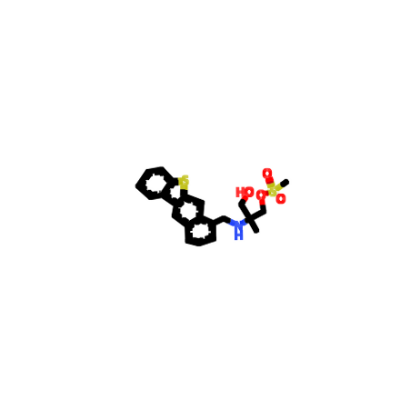 CC(CO)(COS(C)(=O)=O)NCc1cccc2cc3c(cc12)sc1ccccc13